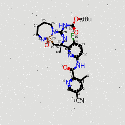 Cc1cc(C#N)cnc1C(=O)Nc1ccc(F)c([C@]2(C)CS3(=O)=NCCCCN3C(NC(=O)OC(C)(C)C)=N2)n1